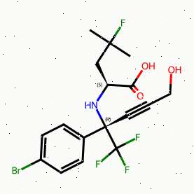 CC(C)(F)C[C@H](N[C@@](C#CCO)(c1ccc(Br)cc1)C(F)(F)F)C(=O)O